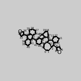 C1=CC2=C(c3ccoc3)c3ccccc3C(c3cccc4sc5c(-c6c7ccccc7c(-c7ccoc7)c7ccccc67)cccc5c34)=C(C=C1)C2